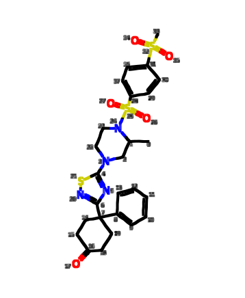 CC1CN(c2nc(C3(c4ccccc4)CCC(=O)CC3)ns2)CCN1S(=O)(=O)c1ccc(S(C)(=O)=O)cc1